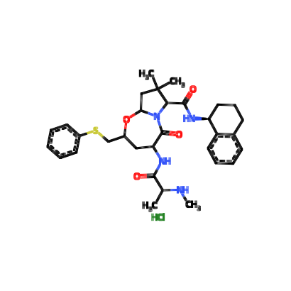 CNC(C)C(=O)NC1CC(CSc2ccccc2)OC2CC(C)(C)C(C(=O)N[C@H]3CCCc4ccccc43)N2C1=O.Cl